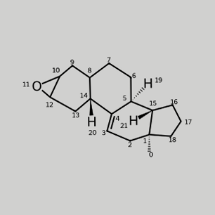 C[C@]12CC=C3[C@@H](CCC4CC5OC5C[C@@H]34)[C@@H]1CCC2